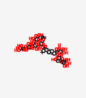 CC[C@H](C)C(=O)O[C@@H]1C(C)O[C@@H](OC(=O)[C@]23CCC(C)(C)CC2C2=CCC4[C@@]5(C)CC[C@H](O[C@@H]6OC(O)(C(=O)O)CC(O[C@@H]7OC[C@@H](O)C(O)C7O)C6O[C@@H]6OC(CO)[C@H](O)C(O)C6O)C(C)(C)C5CC[C@@]4(C)[C@]2(C)CC3)C(O[C@@H]2OC(C)[C@H](O[C@H]3OCC(O)[C@H](O[C@@H]4OCC(O)(CO)C4O)C3O)C(O)C2O)C1O[C@@H]1OC(CO)[C@@H](O)C(O)C1O